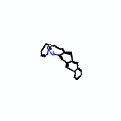 C1=CB2C=Cc3cc4cc5ccccc5cc4cc3N2C=C1